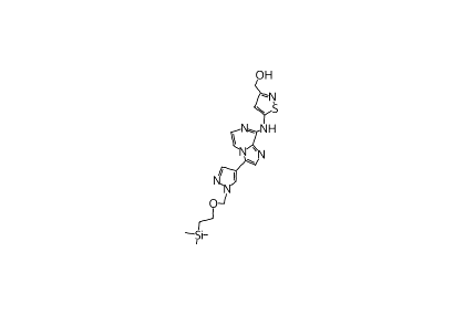 C[Si](C)(C)CCOCn1cc(-c2cnc3c(Nc4cc(CO)ns4)nccn23)cn1